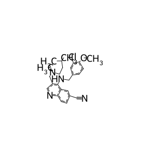 COc1ccc(CNc2c(CN(C)CCC(C)C)cnc3ccc(C#N)cc23)cc1Cl